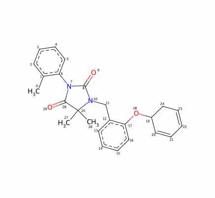 Cc1ccccc1N1C(=O)N(Cc2ccccc2OC2C=CC=CC2)C(C)(C)C1=O